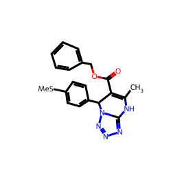 CSc1ccc(C2C(C(=O)OCc3ccccc3)=C(C)Nc3nnnn32)cc1